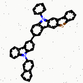 c1ccc(-n2c3ccc(-c4ccc5c(c4)c4ccccc4n5-c4ccc5ccccc5c4)cc3c3cc4sc5ccccc5c4cc32)cc1